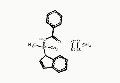 CC[O-].CC[O-].[CH3][Ti+2]([CH3])([NH]C(=O)c1ccccc1)[CH]1C=Cc2ccccc21.[SiH4]